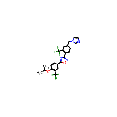 CC(C)Oc1ccc(-c2nc(-c3ccc(Cn4ccnc4)cc3C(F)(F)F)no2)cc1C(F)(F)F